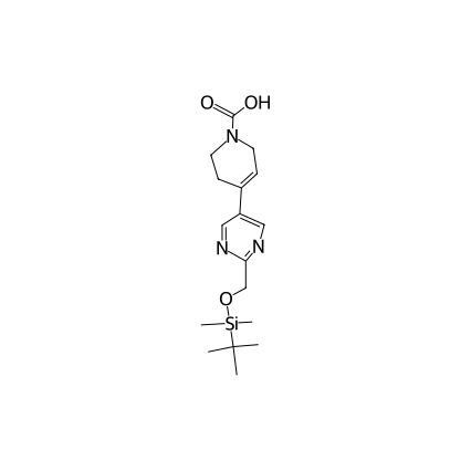 CC(C)(C)[Si](C)(C)OCc1ncc(C2=CCN(C(=O)O)CC2)cn1